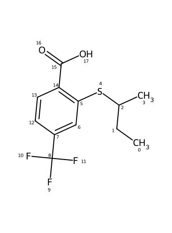 CCC(C)Sc1cc(C(F)(F)F)ccc1C(=O)O